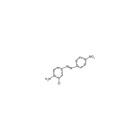 Nc1ccc(/N=N/c2ccc([N+](=O)[O-])cc2)cc1Cl